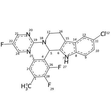 Cc1ccc(C2c3[nH]c4ccc(Cl)cc4c3CCN2c2ncc(F)cn2)c(F)c1F